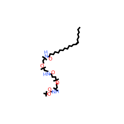 CCCCCC/C=C\CCCCCCCCCCCC(=O)NC(C)(C)CCOC(C)(C)CCNC(=O)CCC(C)(C)OCCC(C)(C)NC(=O)OC(C)(C)C